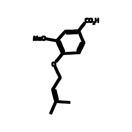 COc1cc(C(=O)O)ccc1OCC=C(C)C